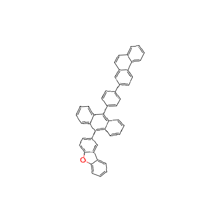 c1ccc2c(c1)ccc1cc(-c3ccc(-c4c5ccccc5c(-c5ccc6oc7ccccc7c6c5)c5ccccc45)cc3)ccc12